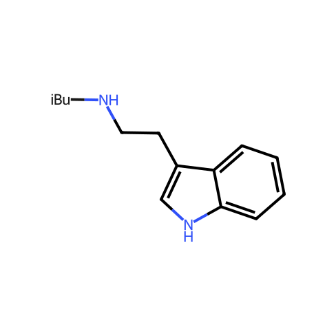 CCC(C)NCCc1c[nH]c2ccccc12